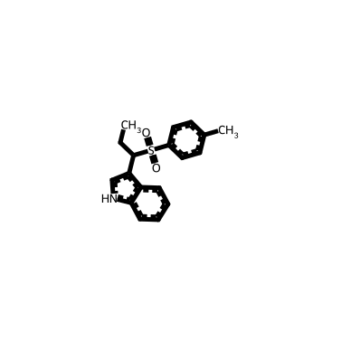 CCC(c1c[nH]c2ccccc12)S(=O)(=O)c1ccc(C)cc1